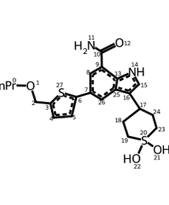 CCCOCc1ccc(-c2cc(C(N)=O)c3[nH]cc(C4CCS(O)(O)CC4)c3c2)s1